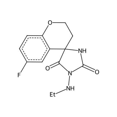 CCNN1C(=O)NC2(CCOc3ccc(F)cc32)C1=O